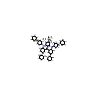 C[Si](C)(C)c1cc2c3c(c1)N(c1ccc(-c4ccccc4)cc1)c1ccc(-c4ccccc4)cc1B3c1cc(-c3ccccc3)ccc1N2c1ccc(-c2ccccc2)cc1